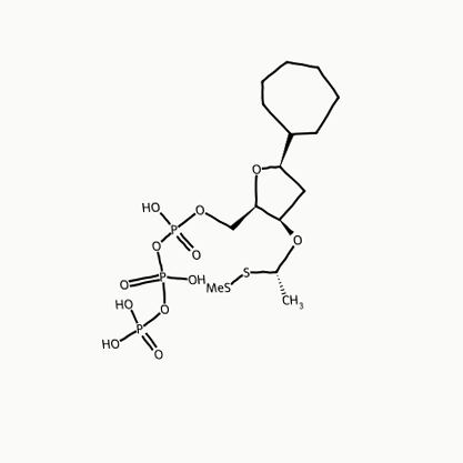 CSS[C@@H](C)O[C@@H]1C[C@H](C2CCCCCC2)O[C@@H]1COP(=O)(O)OP(=O)(O)OP(=O)(O)O